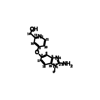 Cn1c(N)nc2cc(Oc3ccnc(CO)c3)ccc21